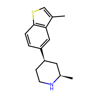 Cc1csc2ccc([C@@H]3CCN[C@H](C)C3)cc12